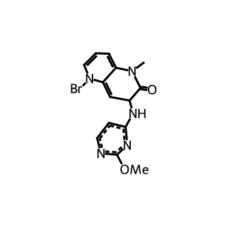 COc1nccc(NC2C=C3C(=CC=CN3Br)N(C)C2=O)n1